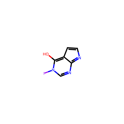 Oc1c2ccnc-2ncn1I